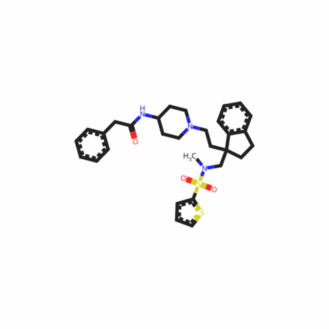 CN(CC1(CCN2CCC(NC(=O)Cc3ccccc3)CC2)CCc2ccccc21)S(=O)(=O)c1cccs1